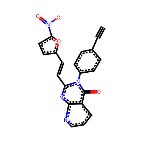 C#Cc1ccc(-n2c(C=Cc3ccc([N+](=O)[O-])o3)nc3ncccc3c2=O)cc1